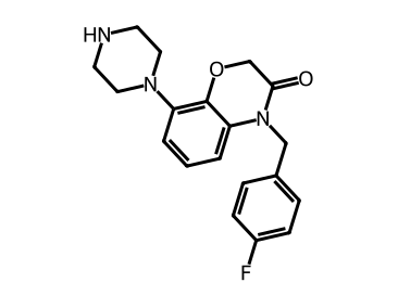 O=C1COc2c(N3CCNCC3)cccc2N1Cc1ccc(F)cc1